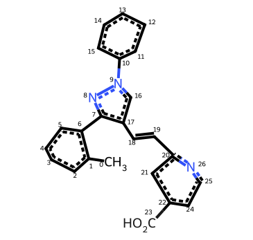 Cc1ccccc1-c1nn(-c2ccccc2)cc1/C=C/c1cc(C(=O)O)ccn1